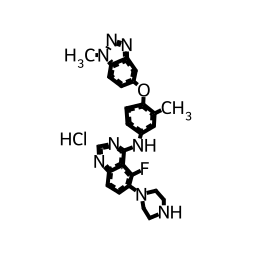 Cc1cc(Nc2ncnc3ccc(N4CCNCC4)c(F)c23)ccc1Oc1ccc2c(c1)nnn2C.Cl